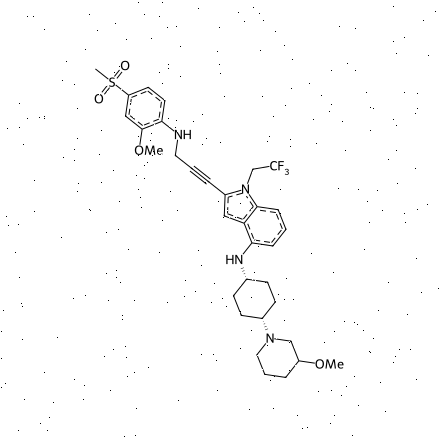 COc1cc(S(C)(=O)=O)ccc1NCC#Cc1cc2c(N[C@H]3CC[C@@H](N4CCCC(OC)C4)CC3)cccc2n1CC(F)(F)F